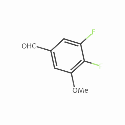 COc1cc(C=O)cc(F)c1F